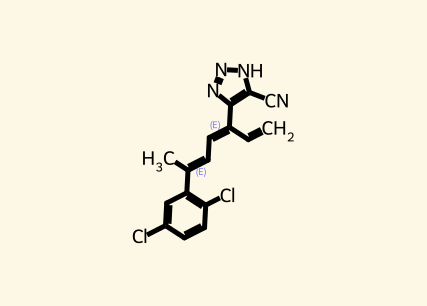 C=C/C(=C\C=C(/C)c1cc(Cl)ccc1Cl)c1nn[nH]c1C#N